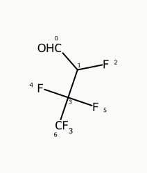 O=CC(F)C(F)(F)C(F)(F)F